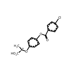 C[C@@H](Oc1ccc(OC(=O)c2ccc(Cl)cc2)cc1)C(=O)O